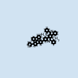 Cc1c2c(-c3ccccc3)nc3cc(-c4ccc5c(c4)C4(c6ccccc6-c6ccccc64)c4cc(-c6cccnc6)ccc4-5)ccc3c2c(C)c2c(-c3ccccc3)nc3ccccc3c12